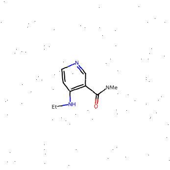 CCNc1ccncc1C(=O)NC